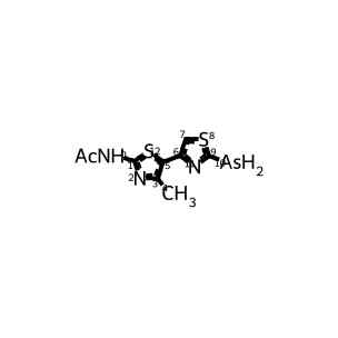 CC(=O)Nc1nc(C)c(-c2csc([AsH2])n2)s1